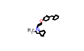 CC1Cc2ccccc2N1CCOc1ccc(Cc2ccccc2)cc1